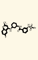 CC(C)S(=O)(=O)Nc1cccc(C(=O)NC2CCCC(Nc3cc(C(F)(F)F)nc4ccc(F)cc34)C2)c1